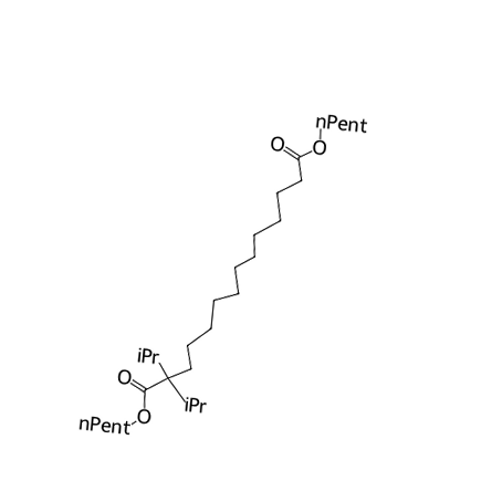 CCCCCOC(=O)CCCCCCCCCCCC(C(=O)OCCCCC)(C(C)C)C(C)C